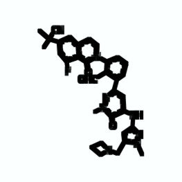 Cn1nc(Nc2cc(-c3cccc(-n4ccc5cc(C(C)(C)C#N)cc(F)c5c4=O)c3C=O)nn(C)c2=O)cc1CN1CCC1